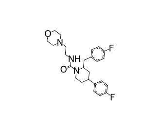 O=C(NCCN1CCOCC1)N1CCC(c2ccc(F)cc2)CC1Cc1ccc(F)cc1